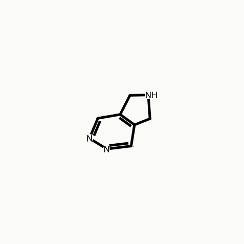 [c]1nncc2c1CNC2